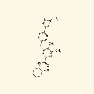 Cc1nc(C(=O)N[C@H]2CCCC[C@@H]2O)cc(Cc2ccc(-c3cnn(C)c3)cc2)c1C